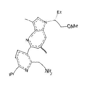 CC[C@H](COC)n1cc(C)c2nc(-c3ccc(C(C)C)nc3CN)c(C)cc21